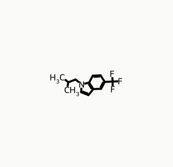 CC(C)Cn1ccc2cc(C(F)(F)F)ccc21